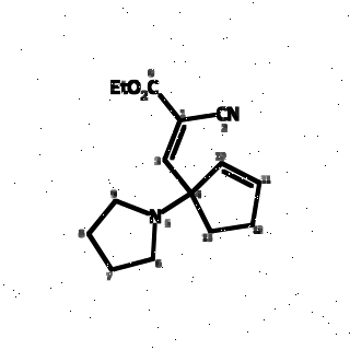 CCOC(=O)C(C#N)=CC1(N2CCCC2)C=CCC1